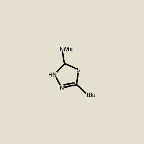 CNC1NN=C(C(C)(C)C)S1